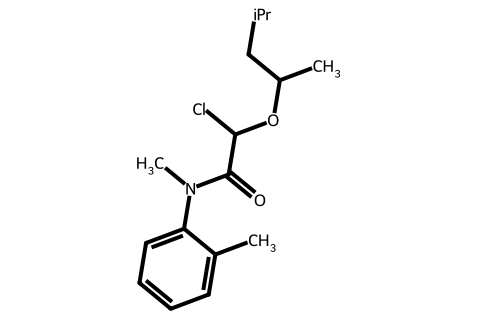 Cc1ccccc1N(C)C(=O)C(Cl)OC(C)CC(C)C